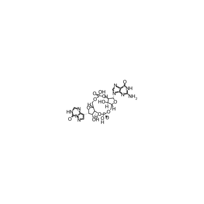 Nc1nc2c(ncn2[C@@H]2O[C@@H]3COP(=O)(O)O[C@H]4[C@@H](O)[C@H](c5cnn6c(=O)[nH]cnc56)O[C@@H]4COP(=O)(O)O[C@@H]2[C@@H]3O)c(=O)[nH]1